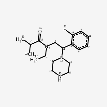 CCN(CC(c1ccccc1F)N1CCNCC1)C(=O)C(C)C